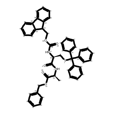 C[C@H](NC(=O)[C@H](CSC(c1ccccc1)(c1ccccc1)c1ccccc1)NC(=O)OCC1c2ccccc2-c2ccccc21)C(=O)OCc1ccccc1